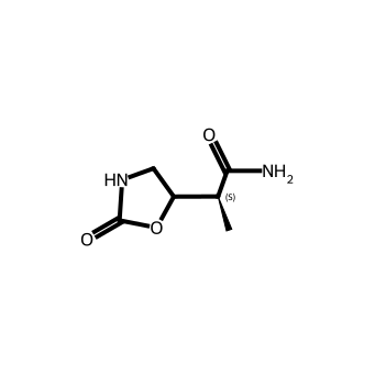 C[C@H](C(N)=O)C1CNC(=O)O1